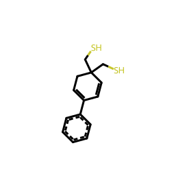 SCC1(CS)C=CC(c2ccccc2)=CC1